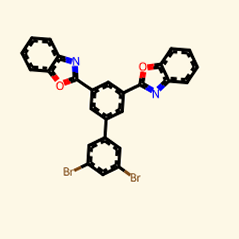 Brc1cc(Br)cc(-c2cc(-c3nc4ccccc4o3)cc(-c3nc4ccccc4o3)c2)c1